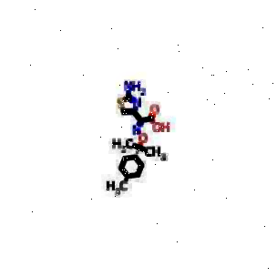 CC(C)(ON=C(C(=O)O)c1csc(N)n1)[C@H]1CC[C@H](C)CC1